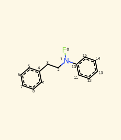 FN(CCc1ccccc1)c1ccccc1